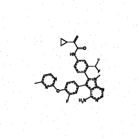 C=C(C(=O)Nc1ccc(-c2c(-c3ccc(Oc4nccc(C)n4)c(F)c3)c3c(N)ncnc3n2C)c(C(F)F)c1)C1CC1